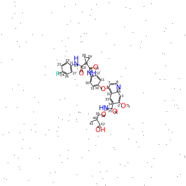 COc1cc2nccc(Oc3ccc(NC(=O)C4(C(=O)Nc5ccc(F)cc5)CC4)cc3)c2cc1C(=O)NOCC(C)CO